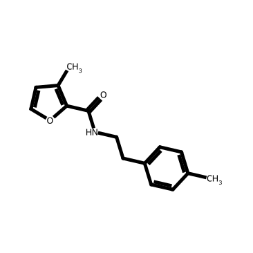 Cc1ccc(CCNC(=O)c2occc2C)cc1